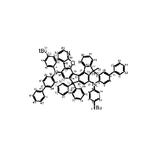 CC(C)(C)c1ccc(N(c2ccc(-c3ccccc3)cc2)c2cc3c(c4c2C(C)(C)c2ccccc2-4)-c2c(cc(N(c4ccc(-c5ccccc5)cc4)c4ccc(C(C)(C)C)cc4)c4c2oc2ncccc24)C3(c2ccccc2)c2ccccc2)cc1